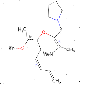 C=C/C=C\CC(O/C(CN1CCCC1)=C(/C)NC)[C@@H](C)OC(C)C